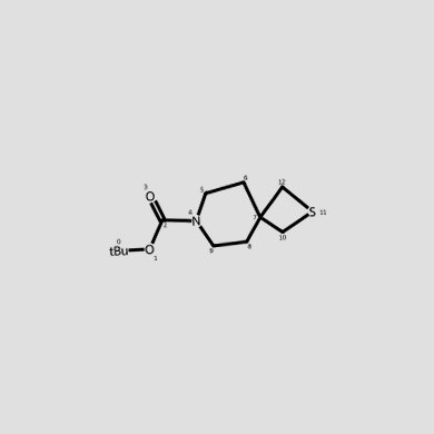 CC(C)(C)OC(=O)N1CCC2(CC1)CSC2